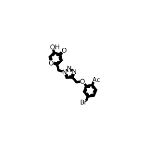 CC(=O)c1ccc(Br)cc1OCc1cn(Cc2cc(=O)c(O)co2)nn1